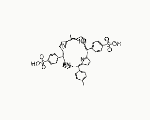 Cc1ccc(-c2c3nc(c(-c4ccc(S(=O)(=O)O)cc4)c4ccc([nH]4)c(C)c4nc(c(-c5ccc(S(=O)(=O)O)cc5)c5ccc2[nH]5)C=C4)C=C3)cc1